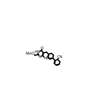 CCCCc1nc(COC)[nH]c(=O)c1CC1=CC=C(C2=CC=CCC2C#N)CC1